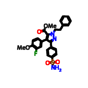 COC(=O)c1c(-c2ccc(OC)c(F)c2)c(-c2ccc(S(N)(=O)=O)cc2)nn1CCc1ccccc1